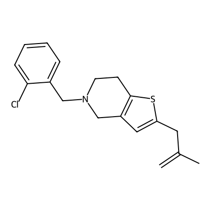 C=C(C)Cc1cc2c(s1)CCN(Cc1ccccc1Cl)C2